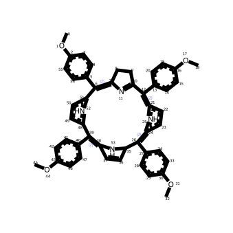 COc1ccc(/C2=C3\CCC(=N3)/C(c3ccc(OC)cc3)=c3/cc/c([nH]3)=C(\c3ccc(OC)cc3)C3C=C/C(=C(\c4ccc(OC)cc4)c4ccc2[nH]4)N3)cc1